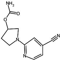 N#Cc1ccnc(N2CCC(OC(N)=O)C2)c1